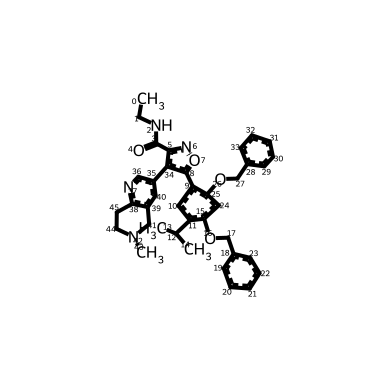 CCNC(=O)c1noc(-c2cc(C(C)C)c(OCc3ccccc3)cc2OCc2ccccc2)c1-c1cnc2c(c1)CN(C)CC2